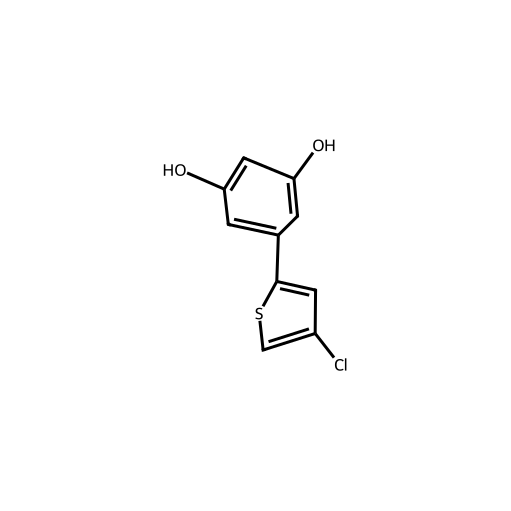 Oc1cc(O)cc(-c2cc(Cl)cs2)c1